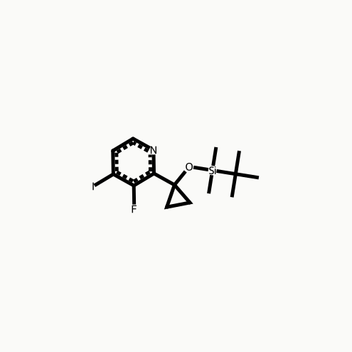 CC(C)(C)[Si](C)(C)OC1(c2nccc(I)c2F)CC1